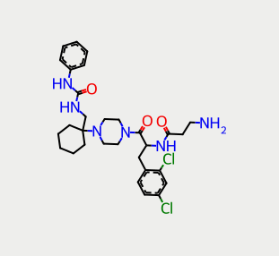 NCCC(=O)NC(Cc1ccc(Cl)cc1Cl)C(=O)N1CCN(C2(CNC(=O)Nc3ccccc3)CCCCC2)CC1